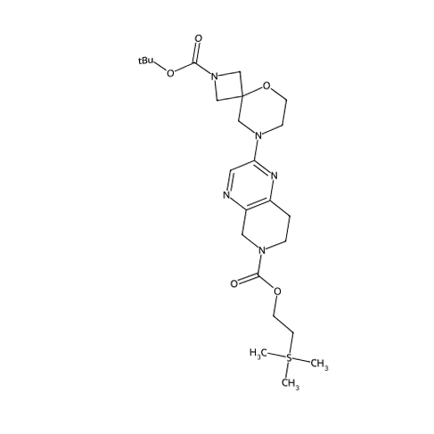 CC(C)(C)OC(=O)N1CC2(C1)CN(c1cnc3c(n1)CCN(C(=O)OCCS(C)(C)C)C3)CCO2